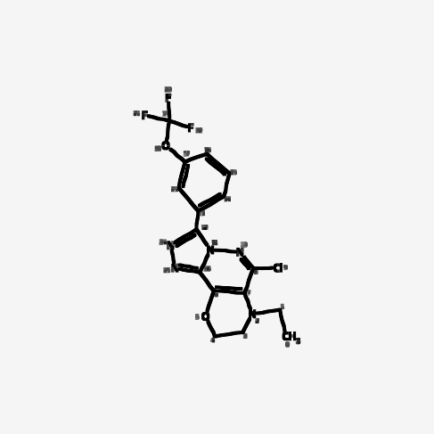 CCN1CCOc2c1c(Cl)nn1c(-c3cccc(OC(F)(F)F)c3)nnc21